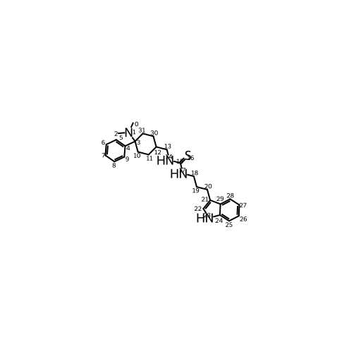 CN(C)C1(c2ccccc2)CCC(CNC(=S)NCCCc2c[nH]c3ccccc23)CC1